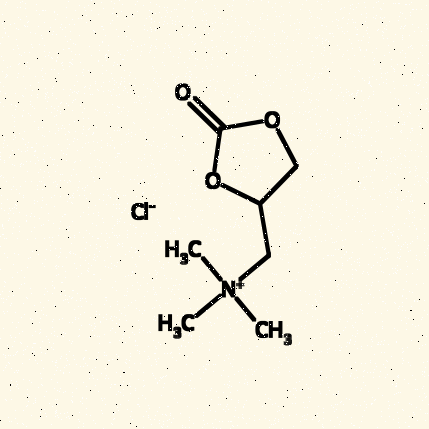 C[N+](C)(C)CC1COC(=O)O1.[Cl-]